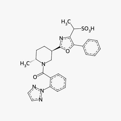 CC(c1nc([C@@H]2CC[C@@H](C)N(C(=O)c3ccccc3-n3nccn3)C2)oc1-c1ccccc1)S(=O)(=O)O